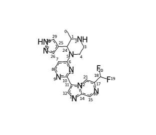 CC1NCCN(c2ccnc(-c3cnc4cnc(C(F)F)cn34)n2)C1c1cn[nH]c1